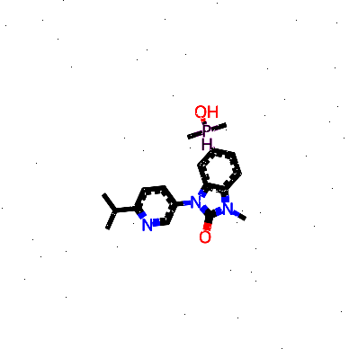 CC(C)c1ccc(-n2c(=O)n(C)c3ccc([PH](C)(C)O)cc32)cn1